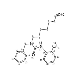 CCCCCCCCCCCCCCCCN(Cc1ccccc1)C(=O)Nc1ccccc1C